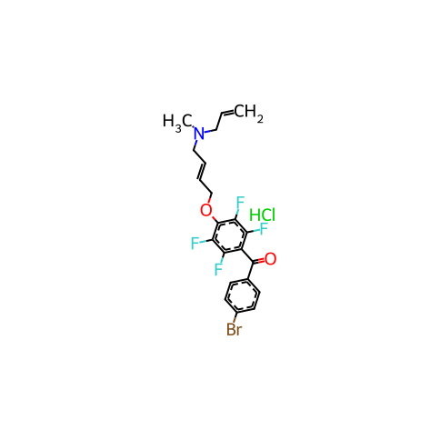 C=CCN(C)C/C=C/COc1c(F)c(F)c(C(=O)c2ccc(Br)cc2)c(F)c1F.Cl